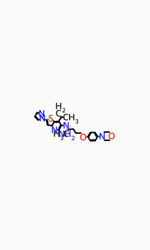 C=C(C)c1c(/N=C(\C)CCCOc2ccc(N3CCOCC3)cc2)c(N)nc2cc(-n3cccn3)sc12